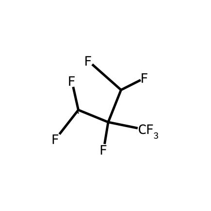 F[C](F)C(F)(C(F)F)C(F)(F)F